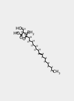 CCCCCCCCC=CCCCCCCCC(=O)N(P)C(CO)C(=O)O